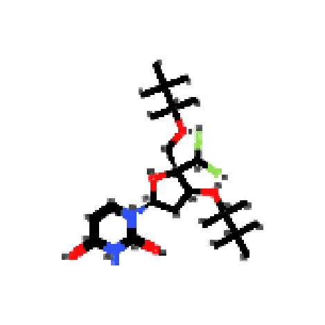 CC(C)(C)[Si](C)(C)OC[C@@]1(C(F)F)O[C@@H](n2ccc(=O)[nH]c2=O)CC1O[Si](C)(C)C(C)(C)C